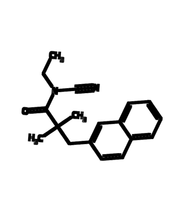 CCN(C#N)C(=O)C(C)(C)Cc1ccc2ccccc2c1